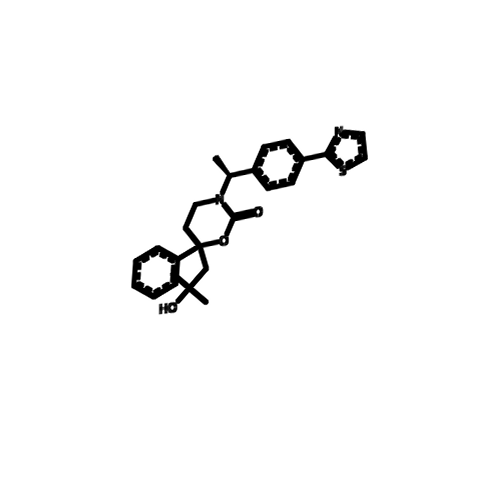 C[C@@H](c1ccc(-c2nccs2)cc1)N1CCC(CC(C)(C)O)(c2ccccc2)OC1=O